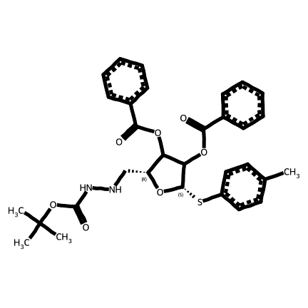 Cc1ccc(S[C@@H]2O[C@H](CNNC(=O)OC(C)(C)C)C(OC(=O)c3ccccc3)C2OC(=O)c2ccccc2)cc1